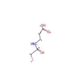 O=C(O)CCNC(=O)CI